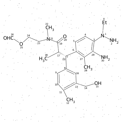 CCN(N)c1ccc([C@H](c2ccc(C)c(CO)c2)C(C)C(=O)N(C)CCOC=O)c(C)c1N